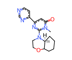 Cn1c(N2CCOC3CCCC[C@@H]32)nc(-c2ccncn2)cc1=O